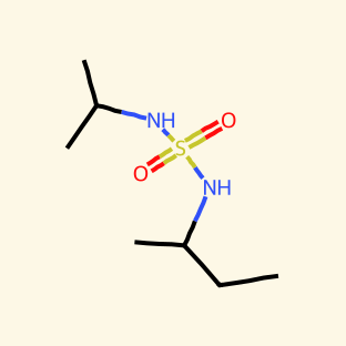 CCC(C)NS(=O)(=O)NC(C)C